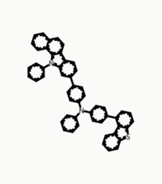 c1ccc(N(c2ccc(-c3ccc4c5ccc6ccccc6c5n(-c5ccccc5)c4c3)cc2)c2ccc(-c3cccc4sc5ccccc5c34)cc2)cc1